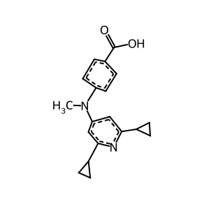 CN(c1ccc(C(=O)O)cc1)c1cc(C2CC2)nc(C2CC2)c1